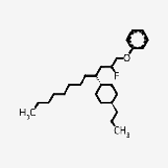 CCCCCCCCC(CC(F)COc1ccccc1)[C@H]1CC[C@H](CCC)CC1